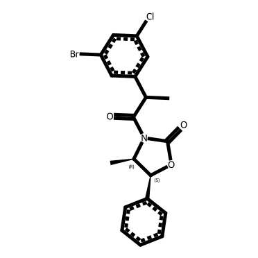 CC(C(=O)N1C(=O)O[C@@H](c2ccccc2)[C@H]1C)c1cc(Cl)cc(Br)c1